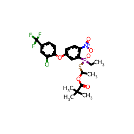 CCP(=O)(SC(C)OC(=O)C(C)(C)C)c1cc(Oc2ccc(C(F)(F)F)cc2Cl)ccc1[N+](=O)[O-]